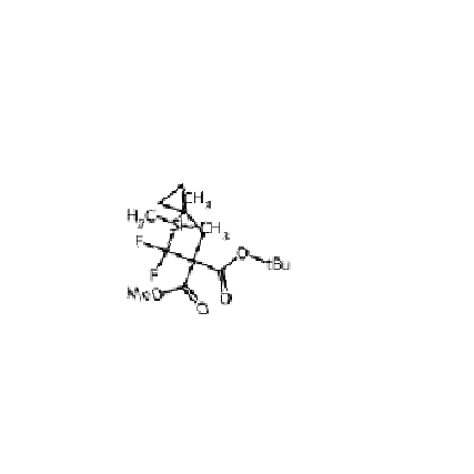 COC(=O)C(CC1CC1)(C(=O)OC(C)(C)C)C(F)(F)[Si](C)(C)C